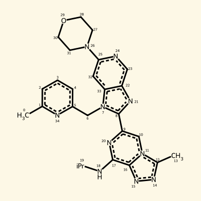 Cc1cccc(Cn2c(-c3cn4c(C)nnc4c(NC(C)C)n3)nc3cnc(N4CCOCC4)cc32)n1